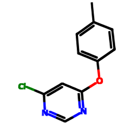 Cc1ccc(Oc2cc(Cl)ncn2)cc1